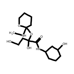 CNC1(OC(O)(CCO)C(=O)NC2CCCC(O)C2)CCCCO1